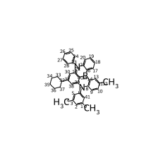 Cc1cc(C)cc(N2c3ccc(C)cc3B3c4ccccc4N(c4ccccc4)c4cc(C5CCCCC5)cc2c43)c1